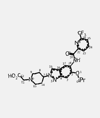 CC(C)Oc1cc2nn(C3CCN(CC(=O)O)CC3)cc2cc1NC(=O)c1cccc(C(F)(F)F)n1